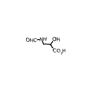 O=CNCC(O)C(=O)O